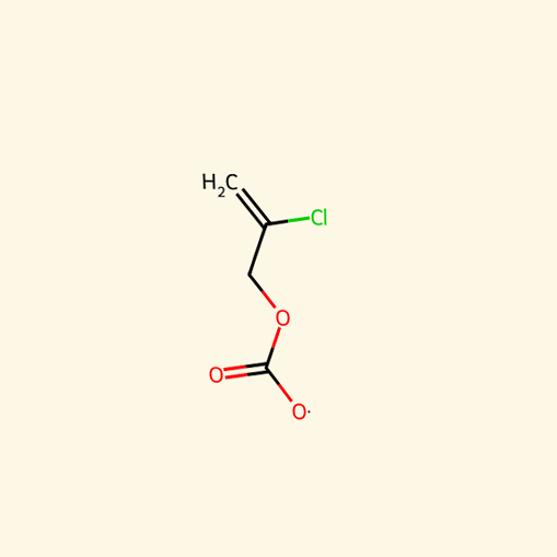 C=C(Cl)COC([O])=O